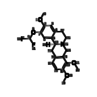 COc1cc2c(cc1OC(F)F)[C@@H]1Cc3ccc(OC)c(OC)c3CN1CC2